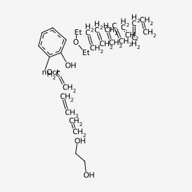 C=C.C=C.C=C.C=C.C=C.C=C.C=C.C=C.C=C.C=C.CCCCCCCCc1ccccc1O.CCOCC.OCCO